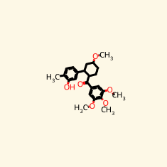 COc1cc(C(=O)C2CCC(OC)CC2c2ccc(C)c(O)c2)cc(OC)c1OC